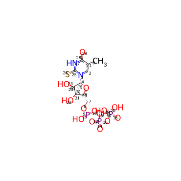 Cc1cn([C@@H]2O[C@H](COP(=O)(O)OP(=O)(O)OP(=O)(O)O)[C@@H](O)[C@H]2O)c(=S)[nH]c1=O